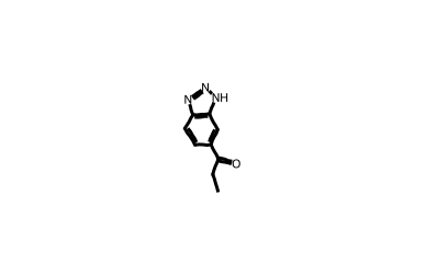 CCC(=O)c1ccc2nn[nH]c2c1